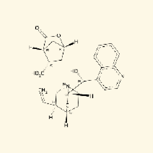 C=C[C@H]1C[N@]2CC[C@H]1C[C@H]2[C@H](O)c1ccnc2ccccc12.O=C(O)[C@H]1C[C@@H]2C[C@H]1C(=O)O2